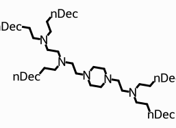 CCCCCCCCCCCCN(CCCCCCCCCCCC)CCN(CCCCCCCCCCCC)CCN1CCN(CCN(CCCCCCCCCCCC)CCCCCCCCCCCC)CC1